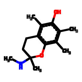 CNC1(C)CCc2c(C)c(O)c(C)c(C)c2O1